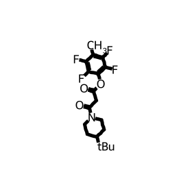 Cc1c(F)c(F)c(OC(=O)CC(=O)N2CCC(C(C)(C)C)CC2)c(F)c1F